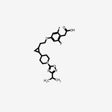 CC(C)c1noc(N2CCC(C3CC3CCOc3cc(F)c(CC(=O)O)c(F)c3)CC2)n1